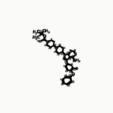 CC(C)(C)OC(=O)N1CCC(N2CCC(n3nc(-c4ccc(Oc5ccccc5)c(F)c4)c4c(N)ncnc43)CC2)CC1